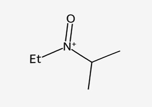 CC[N+](=O)C(C)C